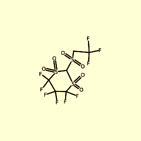 O=S(=O)(CC(F)(F)F)C1S(=O)(=O)C(F)(F)C(F)(F)C(F)(F)S1(=O)=O